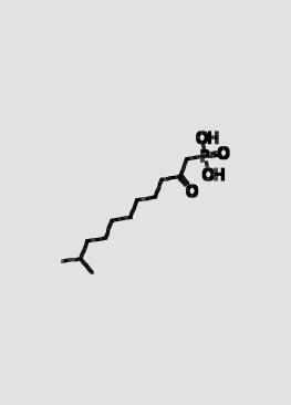 CC(C)CCCCCCCC(=O)CP(=O)(O)O